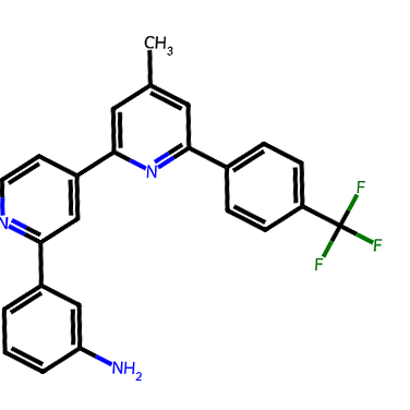 Cc1cc(-c2ccc(C(F)(F)F)cc2)nc(-c2ccnc(-c3cccc(N)c3)c2)c1